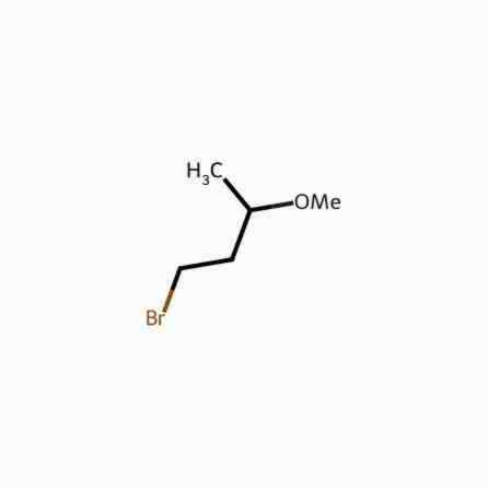 COC(C)CCBr